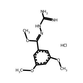 COC(=NNC(=N)N)c1cc(OC)cc(OC)c1.Cl